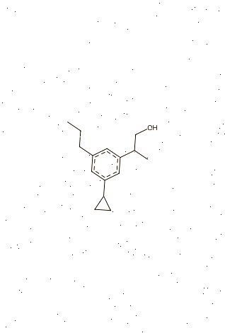 CCCc1cc([C](C)CO)cc(C2CC2)c1